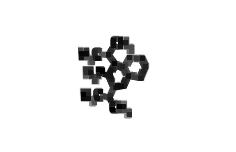 CC(C)c1cc2ccccc2c(C(C)C)c1P